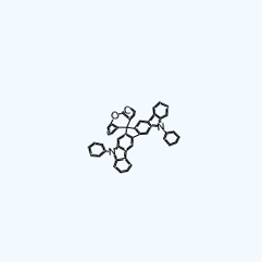 c1ccc(-n2c3ccccc3c3cc4c(cc32)-c2cc3c5ccccc5n(-c5ccccc5)c3cc2C42c3ccccc3Oc3ccccc32)cc1